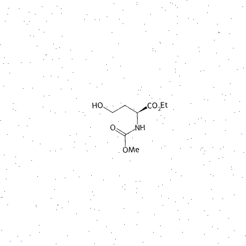 CCOC(=O)[C@H](CCO)NC(=O)OC